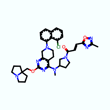 Cc1noc(/C=C/C(=O)N2CCC(N(C)c3nc(OCC45CCCN4CCC5)nc4c3CCN(c3cccc5cccc(Cl)c35)C4)C2)n1